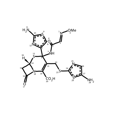 CON=CC(=O)NC1(c2csc(N)n2)S[C@H]2CC(=O)N2C(C(=O)O)=C1CSc1ncc(N)s1